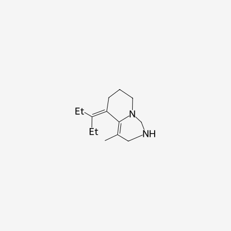 CCC(CC)=C1CCCN2CNCC(C)=C12